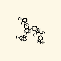 N=S1(=O)CCN(C(=O)c2nn3c(c2Cl)CN(c2nc(OCC45CCCN4C[C@H](F)C5)nc4c2CO[C@@]2(CCc5c(Cl)cccc52)C4)CCC3)CC1